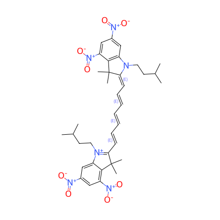 CC(C)CCN1/C(=C/C=C/C=C/C=C/C2=[N+](CCC(C)C)c3cc([N+](=O)[O-])cc([N+](=O)[O-])c3C2(C)C)C(C)(C)c2c1cc([N+](=O)[O-])cc2[N+](=O)[O-]